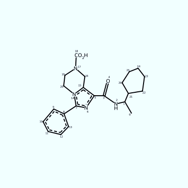 CC(NC(=O)c1nc(-c2ccccc2)n2c1CN(C(=O)O)CC2)C1CCCCC1